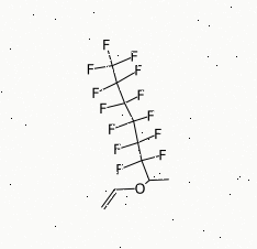 C=COC(C)C(F)(F)C(F)(F)C(F)(F)C(F)(F)C(F)(F)C(F)(F)F